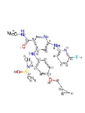 CONC(=O)c1cnc(Nc2cccc(F)n2)cc1Nc1ccc(OCC2CC2)cc1N(C)[S+](C)[O-]